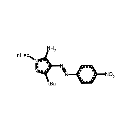 CCCCCCn1nc(C(C)(C)C)c(N=Nc2ccc([N+](=O)[O-])cc2)c1N